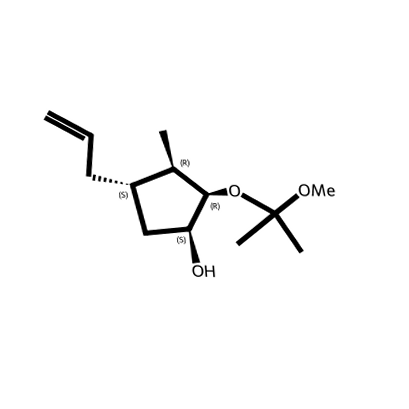 C=CC[C@H]1C[C@H](O)[C@H](OC(C)(C)OC)[C@@H]1C